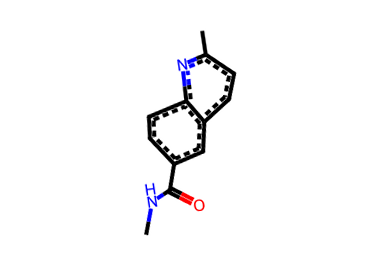 CNC(=O)c1ccc2nc(C)ccc2c1